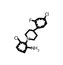 Nc1cccc(Cl)c1N1CCC(c2ccc(Cl)cc2F)CC1